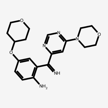 N=C(c1cc(N2CCOCC2)ncn1)c1cc(OC2CCOCC2)ccc1N